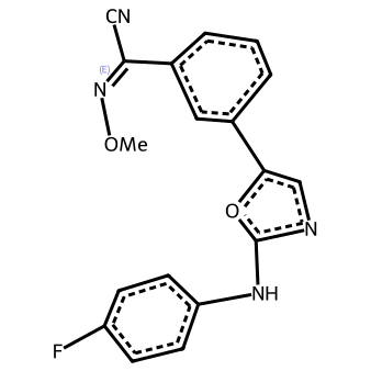 CO/N=C(/C#N)c1cccc(-c2cnc(Nc3ccc(F)cc3)o2)c1